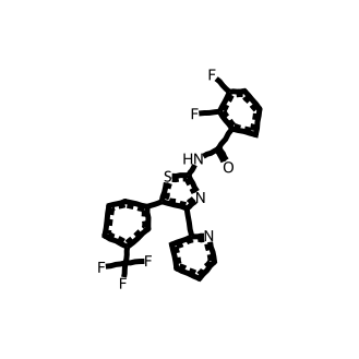 O=C(Nc1nc(-c2ccccn2)c(-c2cccc(C(F)(F)F)c2)s1)c1cccc(F)c1F